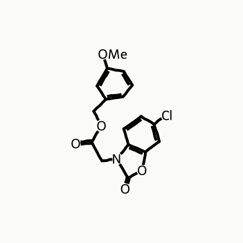 COc1cccc(COC(=O)Cn2c(=O)oc3cc(Cl)ccc32)c1